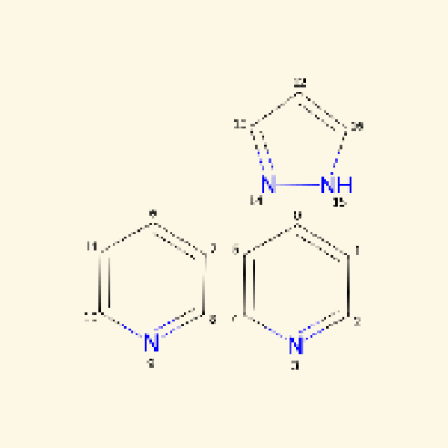 c1ccncc1.c1ccncc1.c1cn[nH]c1